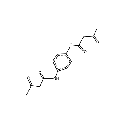 CC(=O)CC(=O)Nc1ccc(OC(=O)CC(C)=O)cc1